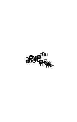 CN(C)S(=O)(=O)c1cccc(NC(=O)N(Cc2ccc(C(=O)Nc3nn[nH]n3)cc2)c2ccc(C(C)(C)C)cc2)c1